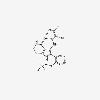 COC(C)(C)COc1cnccc1-c1[nH]c2c(c1Nc1cccc(F)c1O)C(=O)NCC2